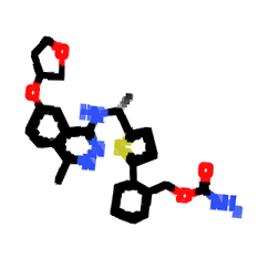 Cc1nnc(N[C@H](C)c2ccc(-c3ccccc3COC(N)=O)s2)c2cc(OC3CCOC3)ccc12